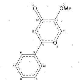 COc1coc(-c2ccccc2)cc1=O